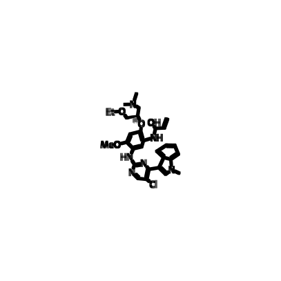 C=CC(O)Nc1cc(Nc2ncc(Cl)c(-c3cn(C)c4ccccc34)n2)c(OC)cc1O[C@@H](COCC)CN(C)C